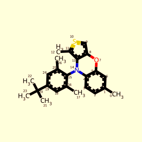 Cc1ccc2c(c1)Oc1csc(C)c1N2c1c(C)cc(C(C)(C)C)cc1C